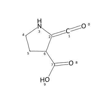 O=C=C1NCCC1C(=O)O